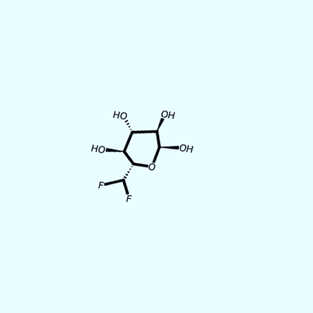 O[C@@H]1[C@@H](O)[C@@H](O)O[C@H](C(F)F)[C@H]1O